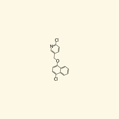 Clc1ccc(COc2ccc(Cl)c3ccccc23)cn1